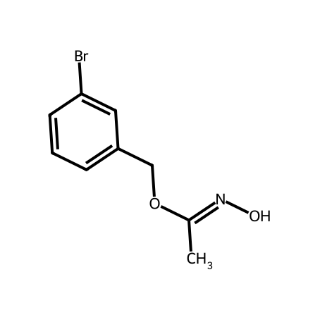 CC(=NO)OCc1cccc(Br)c1